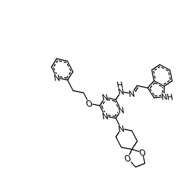 C(=NNc1nc(OCCc2ccccn2)nc(N2CCC3(CC2)OCCO3)n1)c1c[nH]c2ccccc12